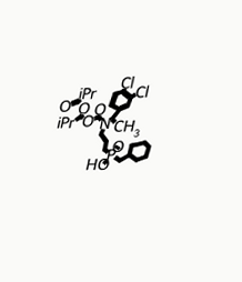 CC(C)C(=O)OC(OC(=O)N(CCCP(=O)(O)CC1CCCCC1)C(C)c1ccc(Cl)c(Cl)c1)C(C)C